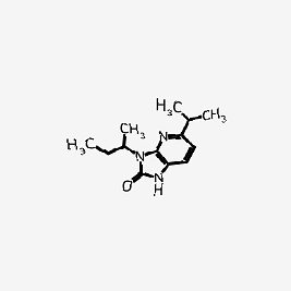 CCC(C)n1c(=O)[nH]c2ccc(C(C)C)nc21